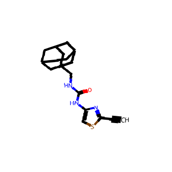 C#Cc1nc(NC(=O)NCC23CC4CC(CC(C4)C2)C3)cs1